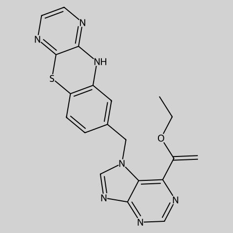 C=C(OCC)c1ncnc2ncn(Cc3ccc4c(c3)Nc3nccnc3S4)c12